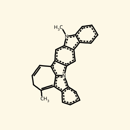 CC1=c2c3ccccc3n3c2c(c2cc4c(cc23)c2ccccc2n4C)C=CC1